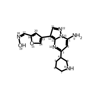 Nc1cc(C2CCCNC2)nc2c(-c3coc(/C=N\O)c3)cnn12